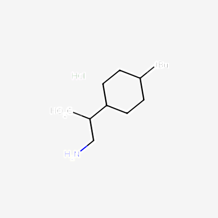 CC(C)(C)C1CCC(C(CN)C(=O)O)CC1.Cl